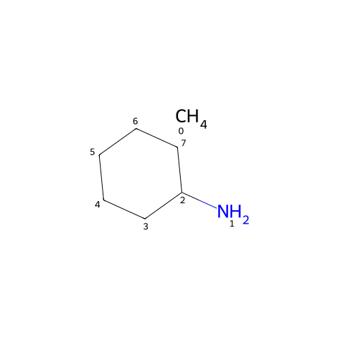 C.NC1CCCCC1